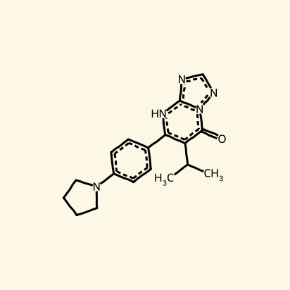 CC(C)c1c(-c2ccc(N3CCCC3)cc2)[nH]c2ncnn2c1=O